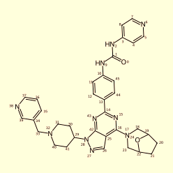 O=C(Nc1ccncc1)Nc1ccc(-c2nc(N3CC4CCC(C3)O4)c3cnn(C4CCN(Cc5cccnc5)CC4)c3n2)cc1